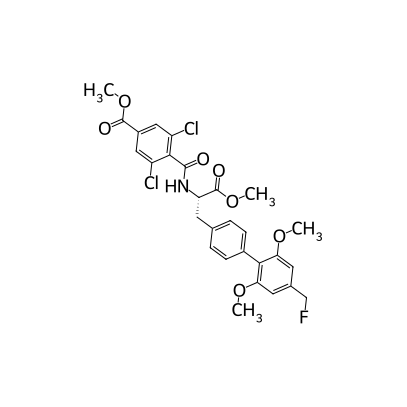 COC(=O)c1cc(Cl)c(C(=O)N[C@@H](Cc2ccc(-c3c(OC)cc(CF)cc3OC)cc2)C(=O)OC)c(Cl)c1